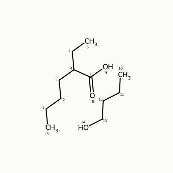 CCCCC(CC)C(=O)O.CCCCO